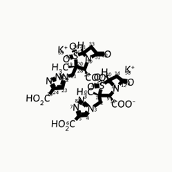 C[C@]1(Cn2cc(C(=O)O)nn2)[C@H](C(=O)[O-])N2C(=O)C[C@H]2S1(=O)=O.C[C@]1(Cn2cc(C(=O)O)nn2)[C@H](C(=O)[O-])N2C(=O)C[C@H]2S1(=O)=O.[K+].[K+]